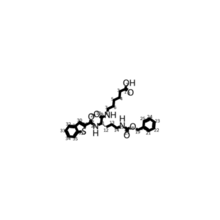 O=C(O)CCCCCNC(=O)[C@H](CCCNC(=O)OCc1ccccc1)NC(=O)c1cc2ccccc2s1